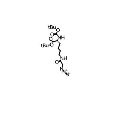 CC(C)(C)OC(=O)N[C@@H](CCCCNC(=O)CN=[N+]=[N-])C(=O)OC(C)(C)C